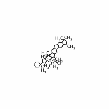 CC1=CC(C)(C)c2cc3c(cc21)-c1cc2c(cc1C3)C(C)(C)[C]([Zr+2]([C]1=CC(C3(C)CCCCC3)=CC1C)=[C](C)C)=C2C.[Cl-].[Cl-]